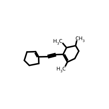 CC1=C(C#CC2=CCCCC2)C(C)C(C)CC1